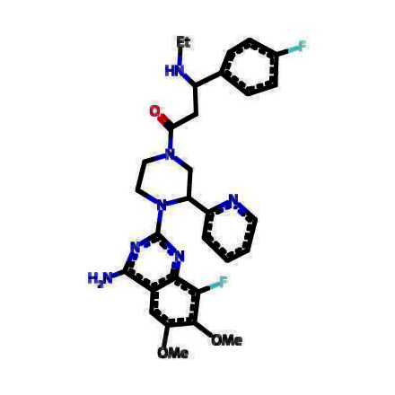 CCNC(CC(=O)N1CCN(c2nc(N)c3cc(OC)c(OC)c(F)c3n2)C(c2ccccn2)C1)c1ccc(F)cc1